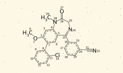 COc1cc2c(cc1-c1ccccc1Cl)C(c1cccc(C#N)c1)=NCC(=O)N2C